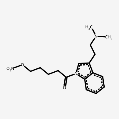 CN(C)CCc1cn(C(=O)CCCCO[N+](=O)[O-])c2ccccc12